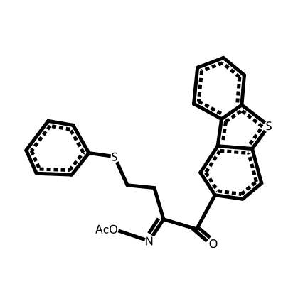 CC(=O)O/N=C(\CCSc1ccccc1)C(=O)c1ccc2sc3ccccc3c2c1